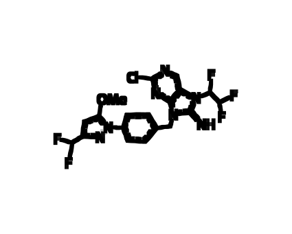 COc1cc(C(F)F)nn1-c1ccc(Cn2c(=N)n(C(F)C(F)F)c3cnc(Cl)nc32)cc1